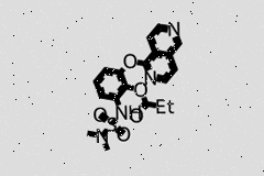 CCC(=O)Oc1c(NS(=O)(=O)N(C)C)cccc1Oc1nccc2cnccc12